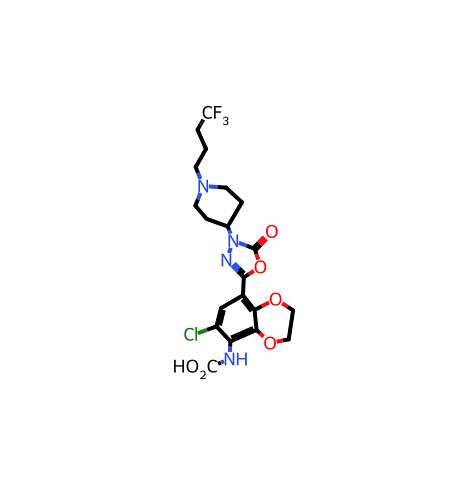 O=C(O)Nc1c(Cl)cc(-c2nn(C3CCN(CCCC(F)(F)F)CC3)c(=O)o2)c2c1OCCO2